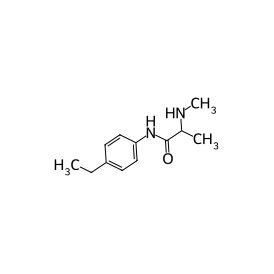 CCc1ccc(NC(=O)C(C)NC)cc1